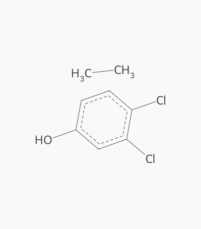 CC.Oc1ccc(Cl)c(Cl)c1